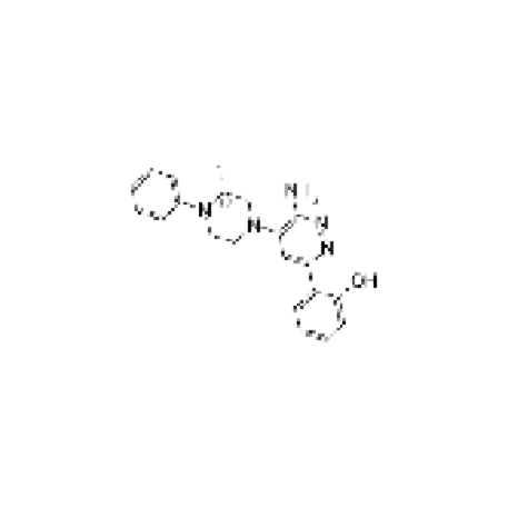 C[C@@H]1CN(c2cc(-c3ccccc3O)nnc2N)CCN1c1ccccc1